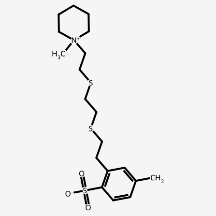 Cc1ccc(S(=O)(=O)[O-])c(CCSCCSCC[N+]2(C)CCCCC2)c1